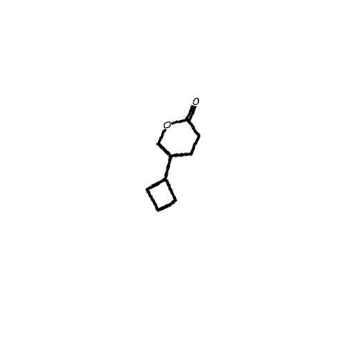 O=C1CCC(C2CCC2)CO1